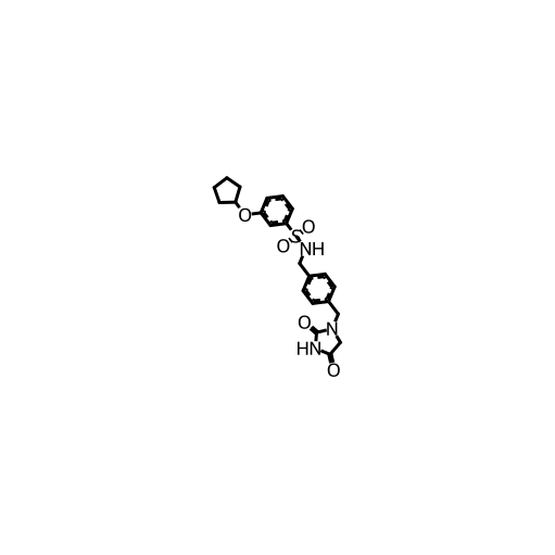 O=C1CN(Cc2ccc(CNS(=O)(=O)c3cccc(OC4CCCC4)c3)cc2)C(=O)N1